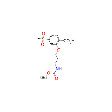 CC(C)(C)OC(=O)NCCCOc1cc(S(C)(=O)=O)ccc1C(=O)O